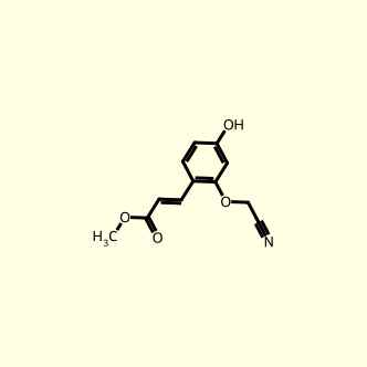 COC(=O)C=Cc1ccc(O)cc1OCC#N